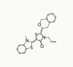 C=CCn1c(=O)/c(=C2\Sc3ccccc3N2C)s/c1=C1/Cc2ccccc2CO1